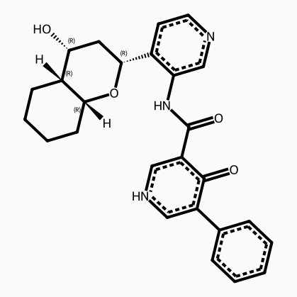 O=C(Nc1cnccc1[C@H]1C[C@@H](O)[C@H]2CCCC[C@H]2O1)c1c[nH]cc(-c2ccccc2)c1=O